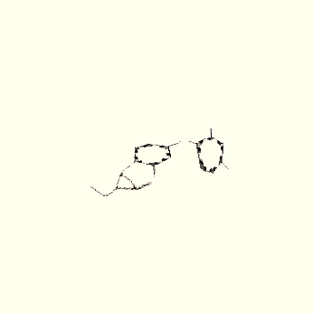 O=C(O)CC1C2Oc3cc(Oc4ccc(C(F)(F)F)cc4Cl)ccc3C12